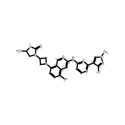 CC1CN(C2CN(c3ccc(C(C)C)c4cc(Nc5ccnc(-c6cn(C)nc6Cl)n5)ncc34)C2)C(=O)O1